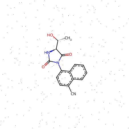 C[C@@H](O)[C@@H]1NC(=O)N(c2ccc(C#N)c3ccccc23)C1=O